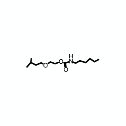 CCCCCCNC(=O)OCCOCCC(C)C